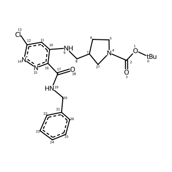 CC(C)(C)OC(=O)N1CCC(CNc2cc(Cl)nnc2C(=O)NCc2ccccc2)C1